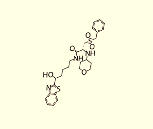 O=C(NCCCCC(O)c1nc2ccccc2s1)[C@H](CS(=O)(=O)Cc1ccccc1)NC1CCOCC1